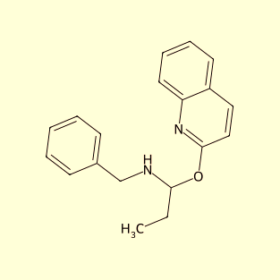 CCC(NCc1ccccc1)Oc1ccc2ccccc2n1